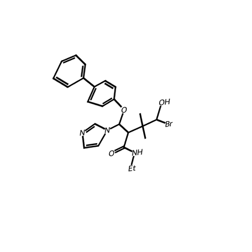 CCNC(=O)C(C(Oc1ccc(-c2ccccc2)cc1)n1ccnc1)C(C)(C)C(O)Br